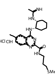 CSCCCNC(=O)c1nc(N[C@H]2CCCC[C@H]2NC(C)=N)c2cc(C)ccc2n1.Cl.Cl